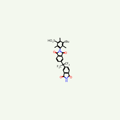 Cc1c(N2C(=O)c3ccc(C(c4ccc5c(c4)C(=O)NC5=O)(C(F)(F)F)C(F)(F)F)cc3C2=O)c(C)c(S(=O)(=O)O)c(C)c1C(C)(C)C